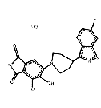 CCc1c(C)c(N2CCC(c3nsc4cc(F)ccc34)CC2)cc2c1C(=O)NC2=O.Cl